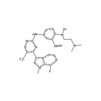 CC(=O)Nc1cc(Nc2ncc(C(F)(F)F)c(-c3cn(C)c4c(F)cccc34)n2)ccc1N(CCN(C)C)C(C)=O